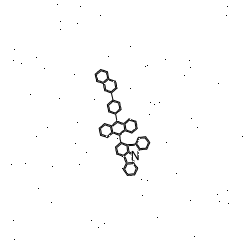 c1ccc2cc(-c3ccc(-c4c5ccccc5c(-c5ccc6c7ccccc7n7c8ccccc8c5c67)c5ccccc45)cc3)ccc2c1